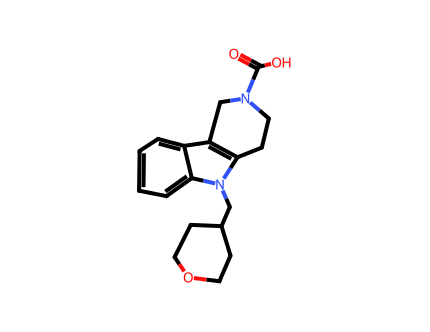 O=C(O)N1CCc2c(c3ccccc3n2CC2CCOCC2)C1